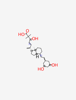 C=C(/C=C/[C@H](O)C(C)(C)C(=O)O)[C@H]1CC[C@H]2/C(=C/C=C3C[C@@H](O)C[C@H](O)C3)CCC[C@]12C